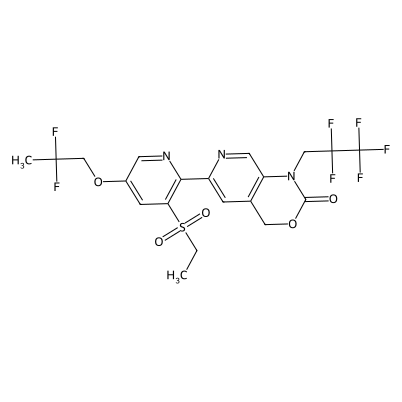 CCS(=O)(=O)c1cc(OCC(C)(F)F)cnc1-c1cc2c(cn1)N(CC(F)(F)C(F)(F)F)C(=O)OC2